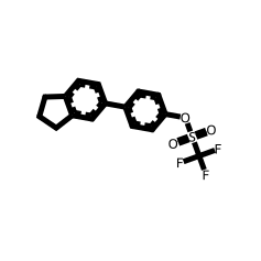 O=S(=O)(Oc1ccc(-c2ccc3c(c2)CCC3)cc1)C(F)(F)F